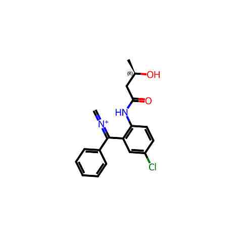 C=[N+]=C(c1ccccc1)c1cc(Cl)ccc1NC(=O)C[C@@H](C)O